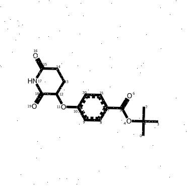 CC(C)(C)OC(=O)c1ccc(OC2CCC(=O)NC2=O)cc1